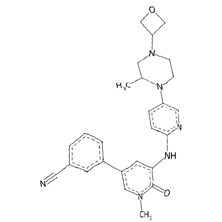 CC1CN(C2COC2)CCN1c1ccc(Nc2cc(-c3cccc(C#N)c3)cn(C)c2=O)nc1